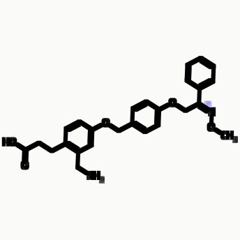 CO/N=C(\COc1ccc(COc2ccc(CCC(=O)O)c(CN)c2)cc1)c1ccccc1